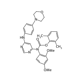 COc1ccc(N(C(=O)Oc2c(C)cccc2C)c2cc(Nc3ccc(N4CCOCC4)cc3)ncn2)c(OC)c1